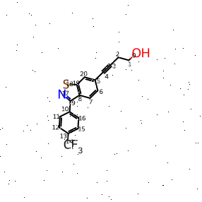 OCCC#Cc1ccc2c(-c3ccc(C(F)(F)F)cc3)nsc2c1